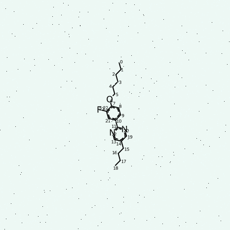 CCCCCCOc1ccc(-c2ncc(CCCC)cn2)cc1F